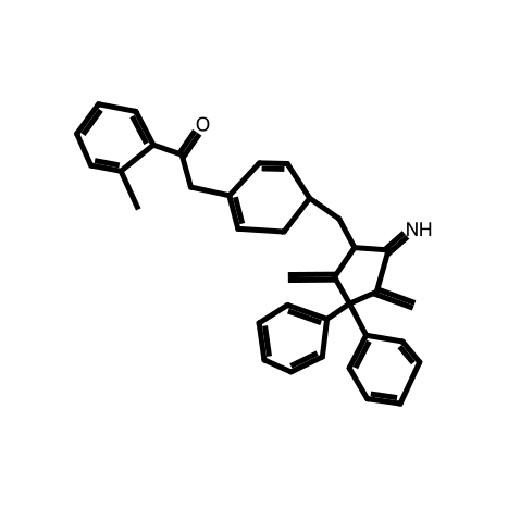 C=C1C(=N)C(CC2C=CC(CC(=O)c3ccccc3C)=CC2)C(=C)C1(c1ccccc1)c1ccccc1